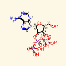 Nc1ncnc2c1ncn2[C@@H]1O[C@H](CO)C(O)C1OP(=O)(OP(=O)(O)O)OP(=O)(O)O